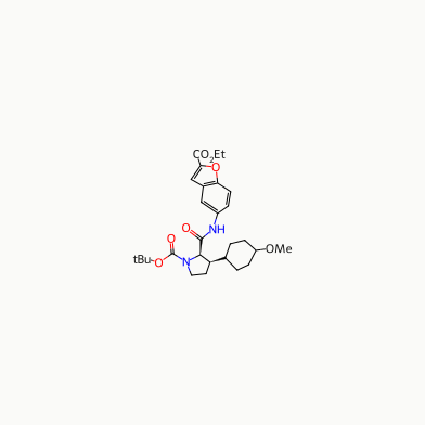 CCOC(=O)c1cc2cc(NC(=O)[C@H]3[C@@H](C4CCC(OC)CC4)CCN3C(=O)OC(C)(C)C)ccc2o1